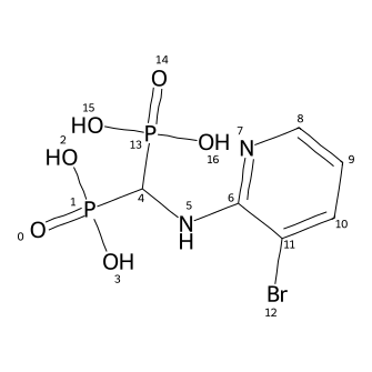 O=P(O)(O)C(Nc1ncccc1Br)P(=O)(O)O